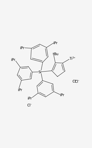 CC(C)c1cc(C(C)C)cc([Si](C2=C(C(C)(C)C)[C]([Ti+3])=CC2)(c2cc(C(C)C)cc(C(C)C)c2)c2cc(C(C)C)cc(C(C)C)c2)c1.[Cl-].[Cl-].[Cl-]